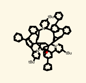 CC(C)(C)c1cc[n+]2c(c1)-c1cc(-c3ccccc3)c3cc1C1=CC4(C(=C1)c1ccccc1-3)[n+]1ccc(C(C)(C)C)cc1-c1cc(-c3ccccc3)c3cc1C41C=C(c4ccccc4-3)C34C(=C1)C31/C=C(\C2)c2ccccc2-c2cc1c(cc2-c1ccccc1)-c1cc(C(C)(C)C)cc[n+]14